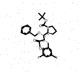 CC(C)(C)OC(=O)N1CCC[C@H]1[C@@H](OCc1ccccc1)[C@H](Cc1cc(F)cc(F)c1)C(=O)O